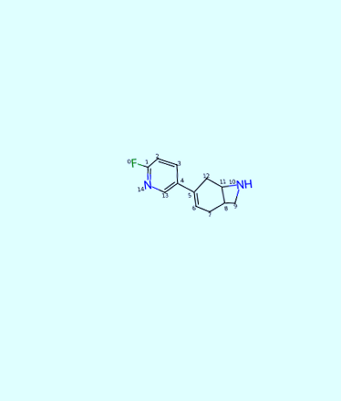 Fc1ccc(C2=CCC3CNC3C2)cn1